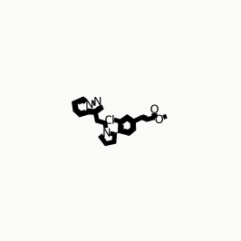 COC(=O)C=Cc1ccc([C@@H]2CCCN2CCc2cnn3ccccc23)c(Cl)c1